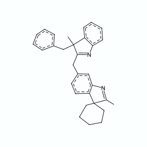 CC1=Nc2cc(CC3=Nc4ccccc4C3(C)Cc3ccccc3)ccc2C12CCCCC2